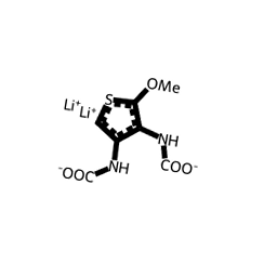 COc1scc(NC(=O)[O-])c1NC(=O)[O-].[Li+].[Li+]